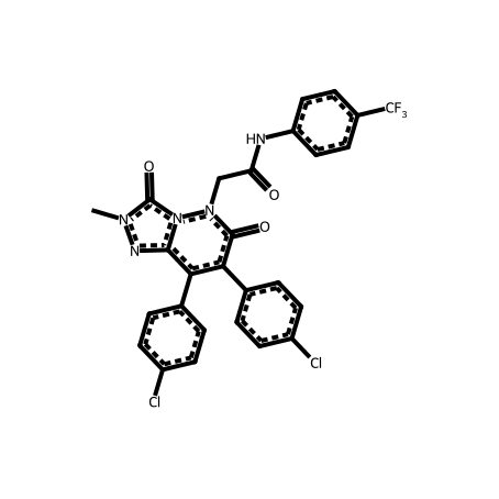 Cn1nc2c(-c3ccc(Cl)cc3)c(-c3ccc(Cl)cc3)c(=O)n(CC(=O)Nc3ccc(C(F)(F)F)cc3)n2c1=O